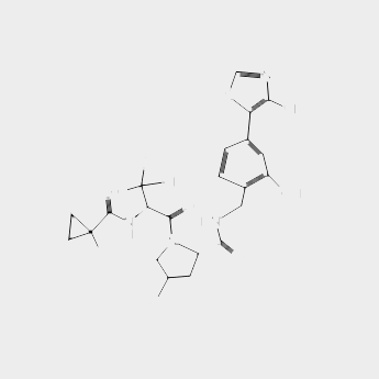 Cc1ncsc1-c1ccc(CNC(=O)[C@@H]2CC(O)CN2C(=O)[C@@H](NC(=O)C2(F)CC2)C(C)(C)C)c(O)c1